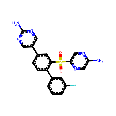 Nc1cnc(S(=O)(=O)c2cc(-c3cnc(N)nc3)ccc2-c2cccc(F)c2)cn1